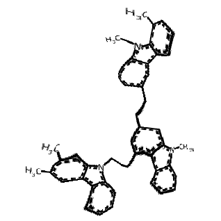 Cc1cc2c3ccccc3n(CCc3cc(CCc4ccc5c(c4)c4cccc(C)c4n5C)cc4c3c3ccccc3n4C)c2cc1C